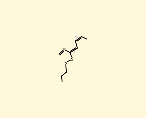 C=N/C(=C\C=C/C)SSCCC